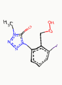 Cn1nnn(-c2cccc(I)c2COO)c1=O